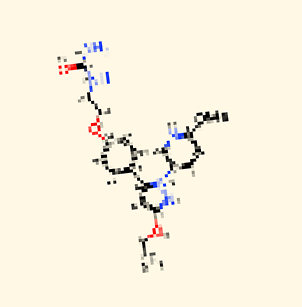 COc1ccc(-n2nc(OCC(F)(F)F)cc2-c2ccc(OCCNC(N)=O)cc2)cn1